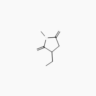 CC(C)CC1CC(=O)N(I)C1=O